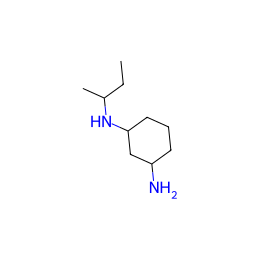 CCC(C)NC1CCCC(N)C1